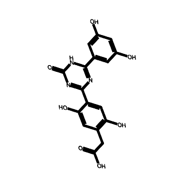 O=C(O)Cc1cc(O)c(-c2nc(-c3cc(O)cc(O)c3)[nH]c(=O)n2)cc1O